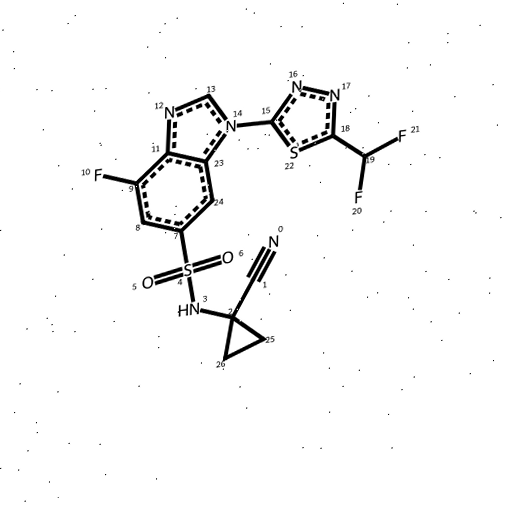 N#CC1(NS(=O)(=O)c2cc(F)c3ncn(-c4nnc(C(F)F)s4)c3c2)CC1